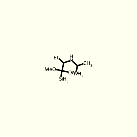 CCC(NC(C)N)C([SiH3])(OC)OC